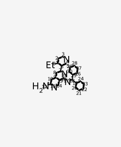 CCc1ccncc1-c1cc2cc(N)ncc2c(N=C(c2ccccc2)c2ccccc2)n1